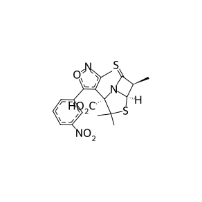 Cc1noc(-c2cccc([N+](=O)[O-])c2)c1[C@@]1(C(=O)O)N2C(=S)[C@@H](C)[C@H]2SC1(C)C